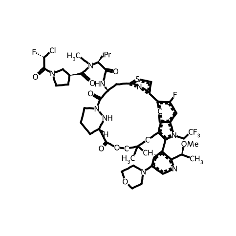 CO[C@@H](C)c1ncc(N2CCOCC2)cc1-c1c2c3cc(c(F)cc3n1CC(F)(F)F)-c1csc(n1)C[C@H](NC(=O)[C@H](C(C)C)N(C)C(=O)[C@H]1CCN(C(=O)[C@H](F)Cl)C1)C(=O)N1CCC[C@H](N1)C(=O)OCC(C)(C)C2